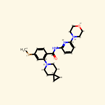 CSc1ccc(C(=O)Nc2cccc(N3CCOCC3)n2)c(N2CCC3(CC2)CC3)c1